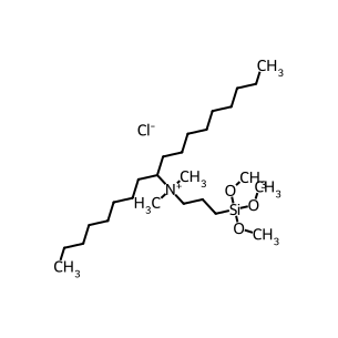 CCCCCCCCCC(CCCCCCCC)[N+](C)(C)CCC[Si](OC)(OC)OC.[Cl-]